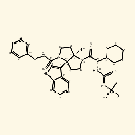 CC(C)(C)OC(=O)N[C@H](C(=O)N1CC[C@@]2(c3c[nH]c4ccccc34)[C@H]1CCN2C(=O)OCc1ccccc1)C1CCCCC1